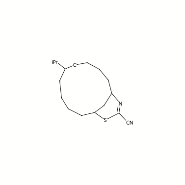 CC(C)C1CCCCC2CC(CCCC1)SC(C#N)=N2